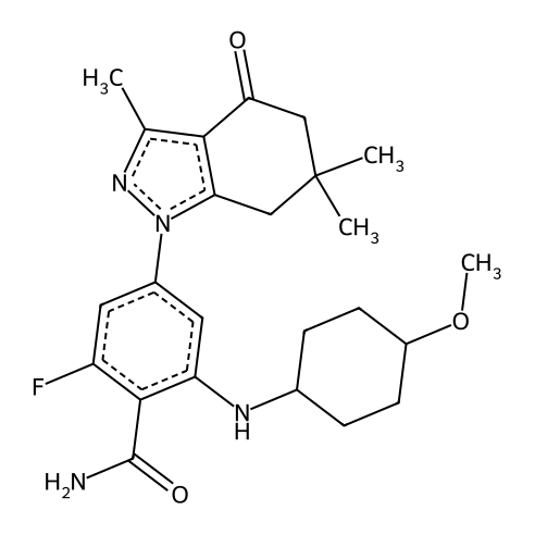 COC1CCC(Nc2cc(-n3nc(C)c4c3CC(C)(C)CC4=O)cc(F)c2C(N)=O)CC1